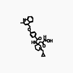 Cc1cc(COc2ccc(C(=O)NC3(CC(=O)NO)CCCN(CC4CC4)C3)cc2)c2ccccc2n1